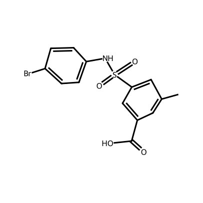 Cc1cc(C(=O)O)cc(S(=O)(=O)Nc2ccc(Br)cc2)c1